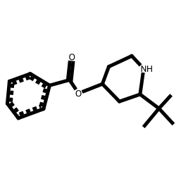 CC(C)(C)C1CC(OC(=O)c2ccccc2)CCN1